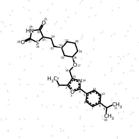 CCc1oc(-c2ccc(C(C)C)cc2)nc1CO[C@@H]1CCC[C@H](CCC2SC(=O)NC2=O)C1